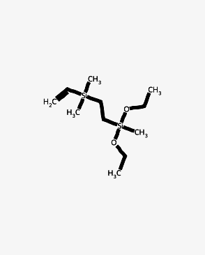 C=C[Si](C)(C)CC[Si](C)(OCC)OCC